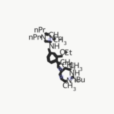 C=C(/C=C1/C=C\C(C)/N=C(/[C@H](C)CC)NC(C)C1C)C1=CC=C=C(CN/C(CN(CCC)C(=C)CCC)=N\C)C=C1COCC